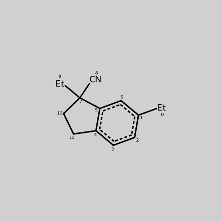 CCc1ccc2c(c1)C(C#N)(CC)CC2